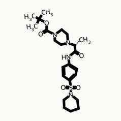 C[C@H](C(=O)Nc1ccc(S(=O)(=O)N2CCCCC2)cc1)N1CCN(C(=O)OC(C)(C)C)CC1